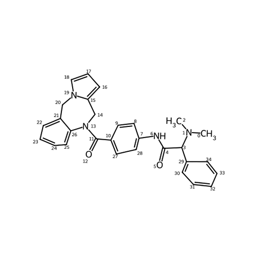 CN(C)C(C(=O)Nc1ccc(C(=O)N2Cc3cccn3Cc3ccccc32)cc1)c1ccccc1